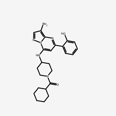 Bc1cnn2c(NC3CCN(C(=O)C4CCCCC4)CC3)cc(-c3ccccc3O)nc12